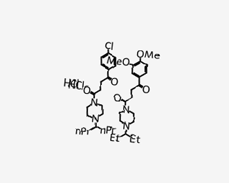 CCC(CC)N1CCN(C(=O)CCC(=O)c2ccc(OC)c(OC)c2)CC1.CCCC(CCC)N1CCN(C(=O)CCC(=O)c2ccc(Cl)cc2)CC1.Cl.Cl